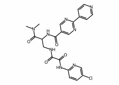 CN(C)C(=O)C(CNC(=O)C(=O)Nc1ccc(Cl)cn1)NC(=O)c1cnc(-c2ccncc2)nc1